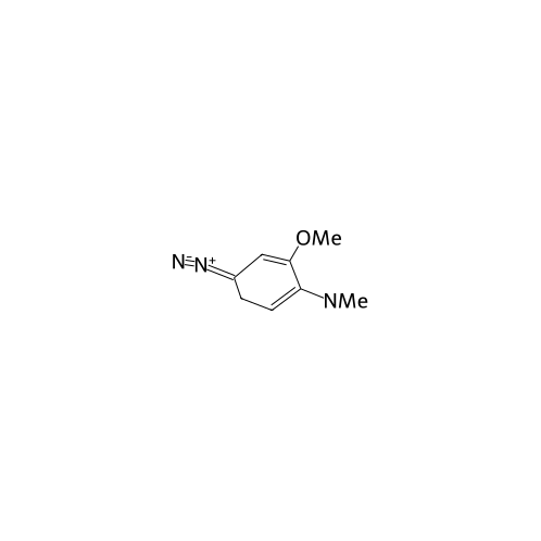 CNC1=CCC(=[N+]=[N-])C=C1OC